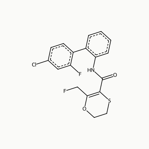 O=C(Nc1ccccc1-c1ccc(Cl)cc1F)C1=C(CF)OCCS1